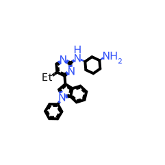 CCc1cnc(N[C@@H]2CCC[C@H](N)C2)nc1-c1cn(-c2ccccc2)c2ccccc12